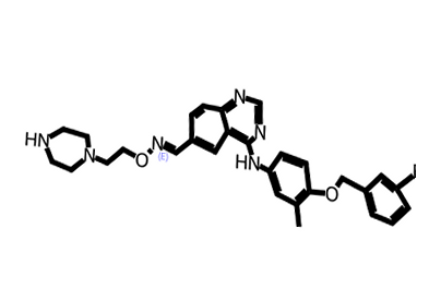 Cc1cc(Nc2ncnc3ccc(/C=N/OCCN4CCNCC4)cc23)ccc1OCc1cccc(F)c1